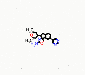 C[C@@H]1CC(C2Cc3ccc(-c4cncnc4)cc3C23COC(N)=N3)C[C@H](C)O1